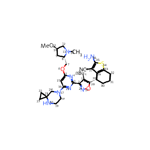 CCCCc1c(-c2nc(OC[C@@H]3C[C@@H](OC)CN3C)cc(N3CCNC4(CC4)C3)n2)noc1[C@H]1CCCc2sc(N)c(C#N)c21